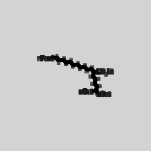 CCCCCC=CCC=CCCCCCCC(CCCCC(CCCCCCCC)CCCCCCCC)C(=O)OCC